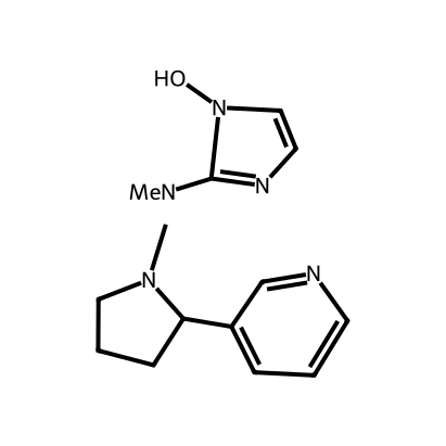 CN1CCCC1c1cccnc1.CNc1nccn1O